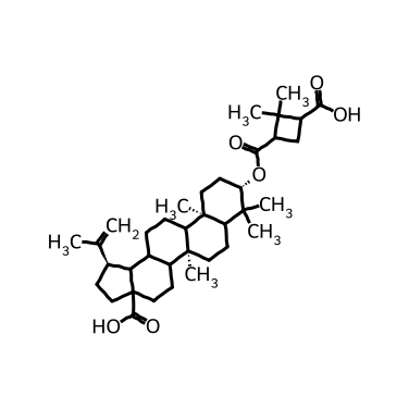 C=C(C)[C@@H]1CCC2(C(=O)O)CCC3C(CCC4[C@@]3(C)CCC3C(C)(C)[C@@H](OC(=O)C5CC(C(=O)O)C5(C)C)CC[C@@]34C)C12